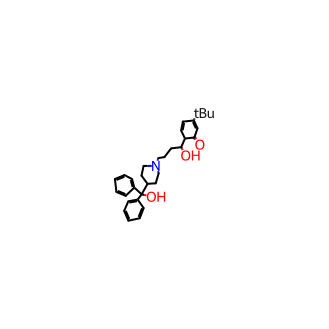 CC(C)(C)C1=CC(=O)C(C(O)CCCN2CCC(C(O)(c3ccccc3)c3ccccc3)CC2)C=C1